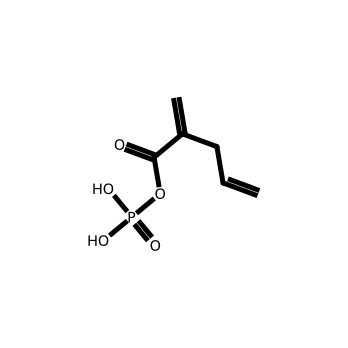 C=CCC(=C)C(=O)OP(=O)(O)O